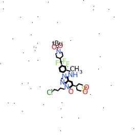 C[C@@H](Nc1ncnc2c1cc(C1CCS(=O)(=O)CC1)c(=O)n2CCCCCl)c1cccc(C(F)(F)C2CCN(C(=O)OC(C)(C)C)CC2)c1F